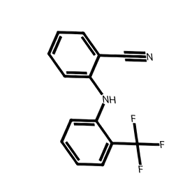 N#Cc1ccccc1Nc1ccccc1C(F)(F)F